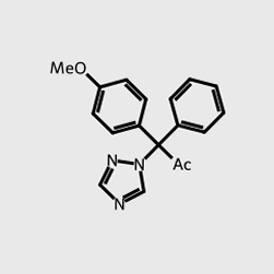 COc1ccc(C(C(C)=O)(c2ccccc2)n2cncn2)cc1